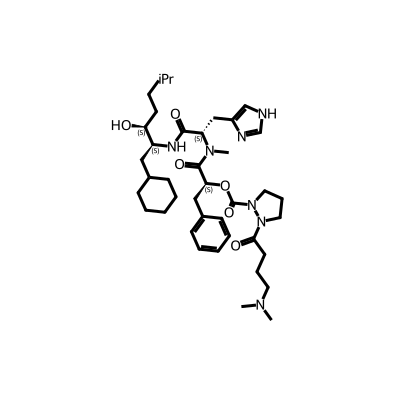 CC(C)CC[C@H](O)[C@H](CC1CCCCC1)NC(=O)[C@H](Cc1c[nH]cn1)N(C)C(=O)[C@H](Cc1ccccc1)OC(=O)N1CCCN1C(=O)CCCN(C)C